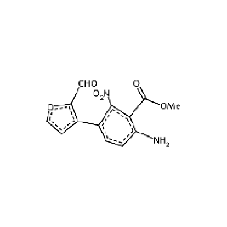 COC(=O)c1c(N)ccc(-c2ccoc2C=O)c1[N+](=O)[O-]